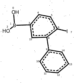 OB(O)c1ccc(I)c(-c2ccccc2)c1